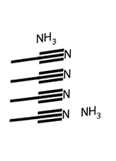 CC#N.CC#N.CC#N.CC#N.N.N